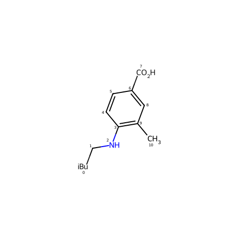 CCC(C)CNc1ccc(C(=O)O)cc1C